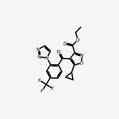 CCOC(=O)c1noc(C2CC2)c1C(=O)c1ccc(C(F)(F)F)cc1-n1ccnn1